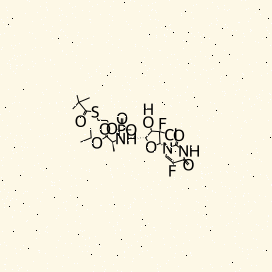 CC(C)OC(=O)[C@H](C)N[P@](=O)(OCCSC(=O)C(C)(C)C)OC[C@H]1O[C@@H](n2cc(F)c(=O)[nH]c2=O)[C@](F)(Cl)[C@@H]1O